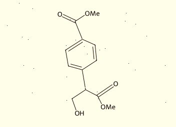 COC(=O)c1ccc(C(CO)C(=O)OC)cc1